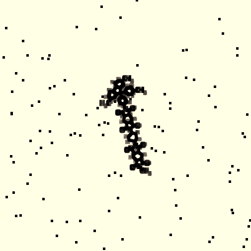 Cc1ccc(C2(c3ccc(N4C(=O)C5CC6C(=O)N(C7CCC(N8C(=O)C9CC%10C(=O)N(C)C(=O)C%10CC9C8=O)CC7)C(=O)C6CC5C4=O)cc3)c3cc(C)ccc3-c3ccc(C)cc32)cc1